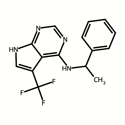 CC(Nc1ncnc2[nH]cc(C(F)(F)F)c12)c1ccccc1